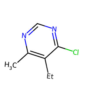 CCc1c(C)ncnc1Cl